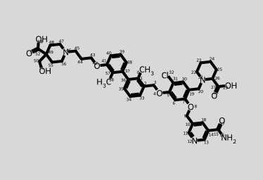 Cc1c(COc2cc(OCc3cncc(C(N)=O)c3)c(CN3CCCCC3C(=O)O)cc2Cl)cccc1-c1cccc(OCCCN2CCC(CO)(C(=O)O)CC2)c1C